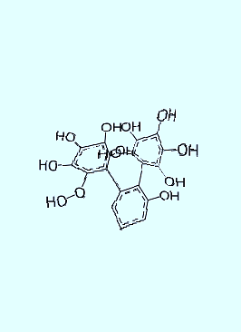 OOc1c(O)c(O)c(O)c(O)c1-c1cccc(O)c1-c1c(O)c(O)c(O)c(O)c1O